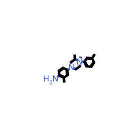 Cc1cccc([N+]2(C)CCN(c3ccc(N)c(C)c3)CC2C)c1